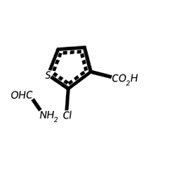 NC=O.O=C(O)c1ccsc1Cl